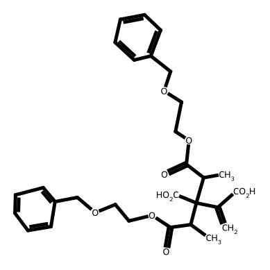 C=C(C(=O)O)C(C(=O)O)(C(C)C(=O)OCCOCc1ccccc1)C(C)C(=O)OCCOCc1ccccc1